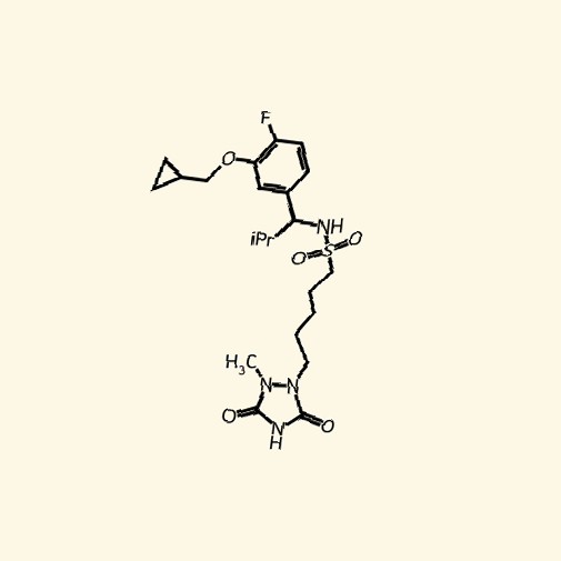 CC(C)C(NS(=O)(=O)CCCCCn1c(=O)[nH]c(=O)n1C)c1ccc(F)c(OCC2CC2)c1